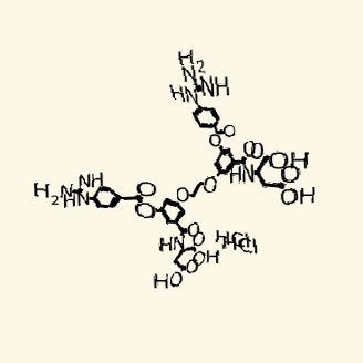 Cl.Cl.N=C(N)Nc1ccc(C(=O)Oc2cc(OCCOc3cc(OC(=O)c4ccc(NC(=N)N)cc4)cc(C(=O)NC(CC(=O)O)C(=O)O)c3)cc(C(=O)NC(CC(=O)O)C(=O)O)c2)cc1